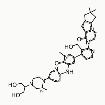 C[C@H]1CN(C(CO)CO)CCN1c1ccc(Nc2cc(-c3ccnc(-n4ccn5c6c(cc5c4=O)CC(C)(C)C6)c3CO)cn(C)c2=O)nc1